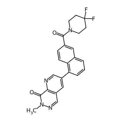 Cn1ncc2cc(-c3cccc4cc(C(=O)N5CCC(F)(F)CC5)ccc34)cnc2c1=O